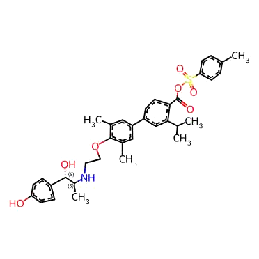 Cc1ccc(S(=O)(=O)OC(=O)c2ccc(-c3cc(C)c(OCCN[C@@H](C)[C@@H](O)c4ccc(O)cc4)c(C)c3)cc2C(C)C)cc1